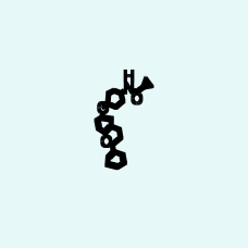 O=C(NC1CCC(Oc2ccc3c(c2)CCC(c2ccccc2)O3)CC1)C1CC1